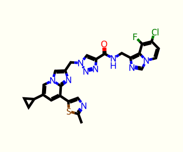 Cc1ncc(-c2cc(C3CC3)cn3cc(Cn4cc(C(=O)NCc5ncn6ccc(Cl)c(F)c56)nn4)nc23)s1